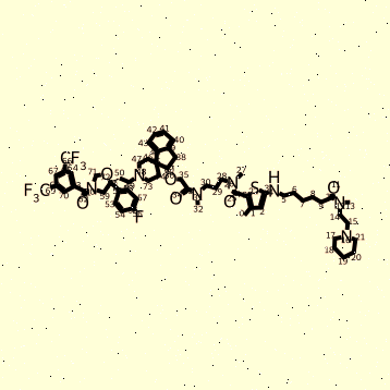 Cc1cc(NCCCCCC(=O)N(C)CCN2CC[CH]CC2)sc1C(=O)N(C)CCCN(C)C(=O)CO[C@H]1Cc2ccccc2C12CCN(CC[C@]1(c3ccc(F)cc3)CN(C(=O)c3cc(C(F)(F)F)cc(C(F)(F)F)c3)CO1)CC2